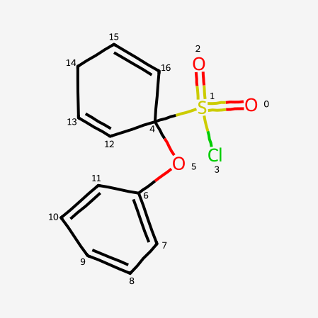 O=S(=O)(Cl)C1(Oc2ccccc2)C=CCC=C1